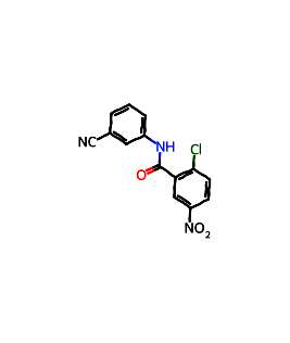 N#Cc1cccc(NC(=O)c2cc([N+](=O)[O-])ccc2Cl)c1